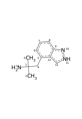 CC(C)(N)Cc1cccc2n[nH]cc12